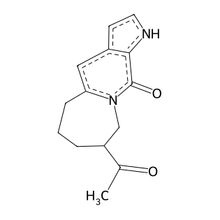 CC(=O)C1CCCc2cc3cc[nH]c3c(=O)n2C1